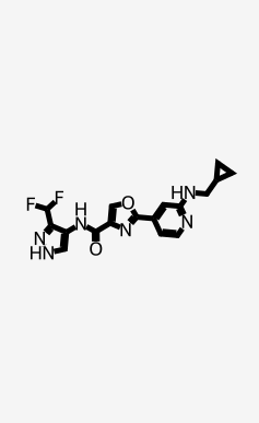 O=C(Nc1c[nH]nc1C(F)F)c1coc(-c2ccnc(NCC3CC3)c2)n1